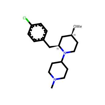 CO[C@H]1CCN(C2CCN(C)CC2)[C@@H](Cc2ccc(Cl)cc2)C1